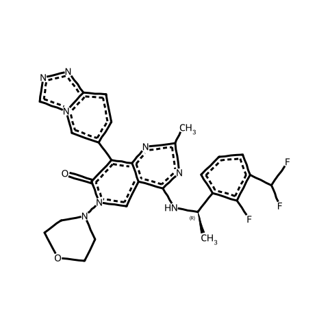 Cc1nc(N[C@H](C)c2cccc(C(F)F)c2F)c2cn(N3CCOCC3)c(=O)c(-c3ccc4nncn4c3)c2n1